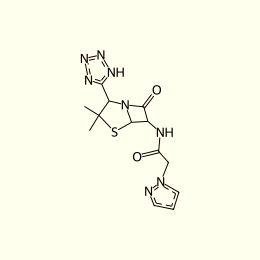 CC1(C)SC2C(NC(=O)Cn3cccn3)C(=O)N2C1c1nnn[nH]1